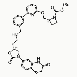 CC(C)(C)OC(=O)N1CC[C@H]1COc1cccc(-c2cccc(CNCC[C@@H]3CN(c4ccc5c(c4)NC(=O)CS5)C(=O)O3)c2)n1